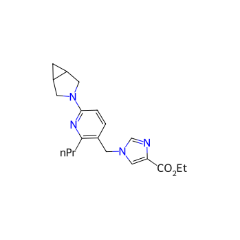 CCCc1nc(N2CC3CC3C2)ccc1Cn1cnc(C(=O)OCC)c1